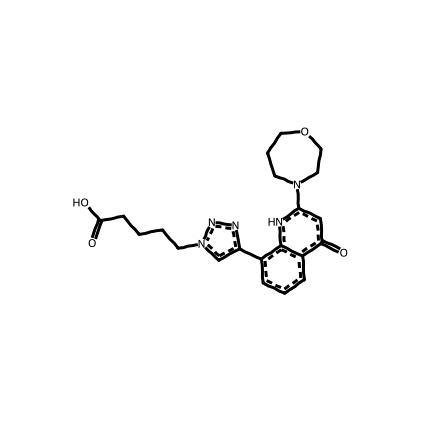 O=C(O)CCCCn1cc(-c2cccc3c(=O)cc(N4CCCOCC4)[nH]c23)nn1